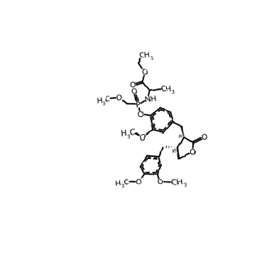 CCOC(=O)C(C)NP(=O)(COC)Oc1ccc(C[C@H]2C(=O)OC[C@@H]2Cc2ccc(OC)c(OC)c2)cc1OC